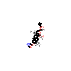 CC(C)C(OC(=O)C1CCC1)C1C[C@@H](C)[C@H]2C(O1)[C@H](O)[C@@]1(C)C3CC[C@H]4C(C)(C)C(O[C@H]5CNCCO5)CCC45CC35CCC21C